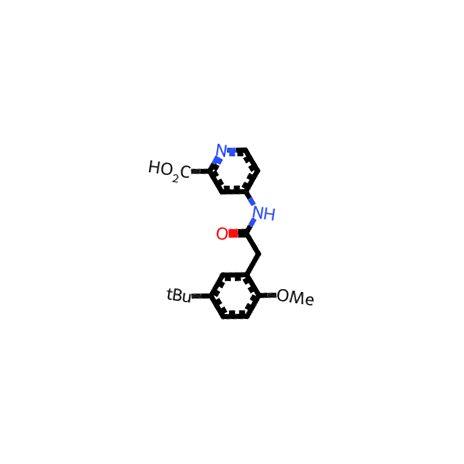 COc1ccc(C(C)(C)C)cc1CC(=O)Nc1ccnc(C(=O)O)c1